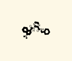 CN(C)c1ccc(C(=O)Nc2nccnc2C(=O)NCC2CCCCC2)c2ccccc12